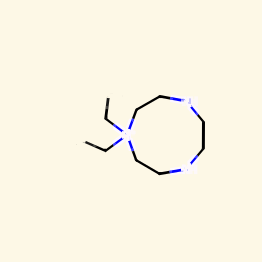 O=S(=O)(O)C[N+]1(CS(=O)(=O)O)CCNCCNCC1